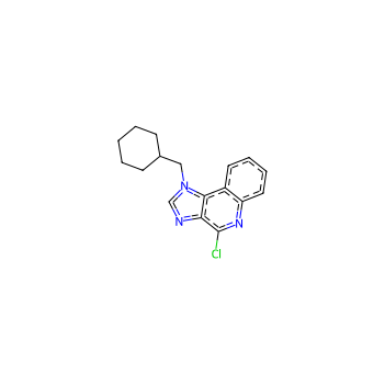 Clc1nc2ccccc2c2c1ncn2CC1CCCCC1